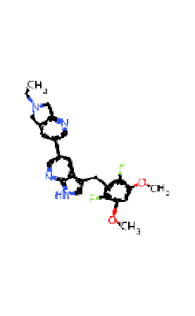 CCN1Cc2cc(-c3cnc4[nH]cc(Cc5c(F)c(OC)cc(OC)c5F)c4c3)cnc2C1